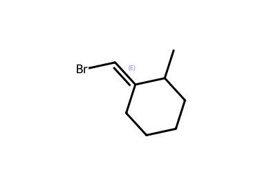 CC1CCCC/C1=C\Br